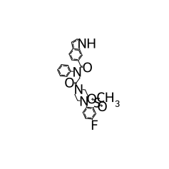 CS(=O)(=O)c1cc(F)ccc1N1CCN(C(=O)CN(C(=O)c2ccc3cc[nH]c3c2)c2ccccc2)CC1